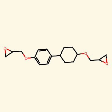 c1cc(C2CCC(OCC3CO3)CC2)ccc1OCC1CO1